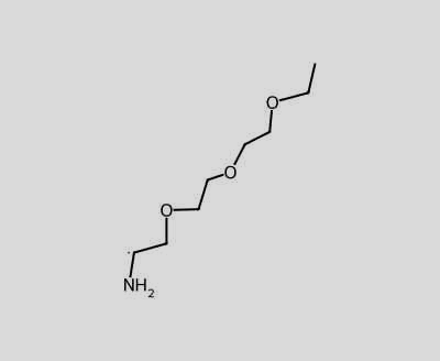 CCOCCOCCOC[CH]N